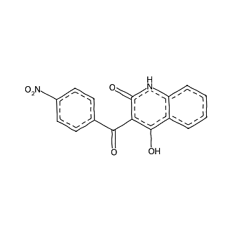 O=C(c1ccc([N+](=O)[O-])cc1)c1c(O)c2ccccc2[nH]c1=O